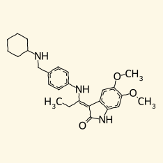 CCC(Nc1ccc(CNC2CCCCC2)cc1)=C1C(=O)Nc2cc(OC)c(OC)cc21